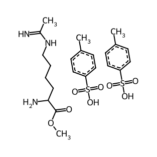 COC(=O)C(N)CCCCNC(C)=N.Cc1ccc(S(=O)(=O)O)cc1.Cc1ccc(S(=O)(=O)O)cc1